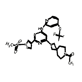 CC(=O)N1CCC2(CC1)CN(c1cc(Nc3cc(OC(F)(F)F)ccn3)nc(-c3cnn(S(C)(=O)=O)c3)n1)C2